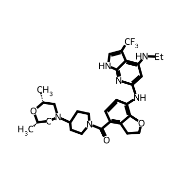 CCNc1cc(Nc2ccc(C(=O)N3CCC(N4C[C@@H](C)O[C@@H](C)C4)CC3)c3c2OCC3)nc2[nH]cc(C(F)(F)F)c12